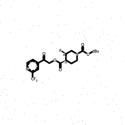 CC(C)(C)OC(=O)N1CC[C@@H](C(=O)OCC(=O)c2ccnc(C(F)(F)F)c2)[C@@H](F)C1